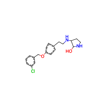 OC1NCCC1NCCc1ccc(OCc2cccc(Cl)c2)cc1